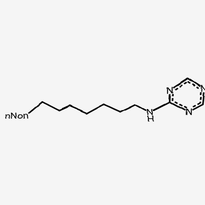 CCCCCCCCCCCCCCCCNc1ncncn1